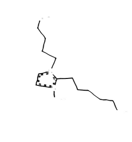 CCCCCCCCCCCCCCCc1n(CCCCCCCCCCCCCC)cc[n+]1CCCCCCCCCC